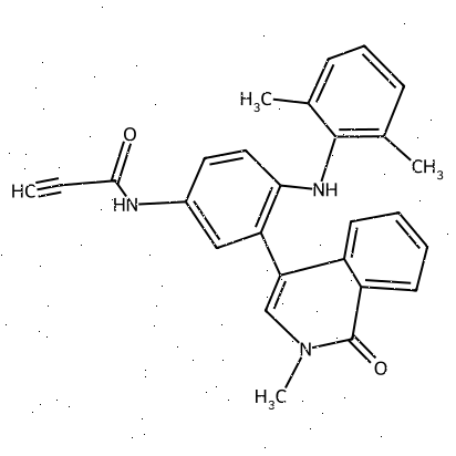 C#CC(=O)Nc1ccc(Nc2c(C)cccc2C)c(-c2cn(C)c(=O)c3ccccc23)c1